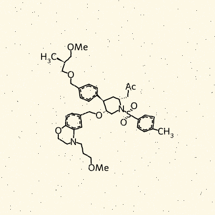 COCCCN1CCOc2ccc(CO[C@H]3CN(S(=O)(=O)c4ccc(C)cc4)[C@@H](CC(C)=O)C[C@@H]3c3ccc(COC[C@@H](C)COC)cc3)cc21